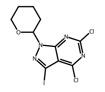 Clc1nc(Cl)c2c(I)nn(C3CCCCO3)c2n1